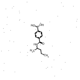 CCCC(C)NC(=O)c1ccc(B(O)O)cc1